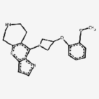 COc1ccccc1OC1CN(c2c3c(nc4ccnn24)CCNCC3)C1